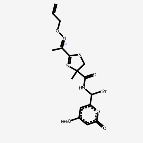 C=CCO/N=C(\C)C1=NC(C)(C(=O)NC(CCC)c2cc(OC)cc(=O)o2)CS1